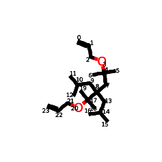 C=CCOC(C)(C)CC(CC(C)C)(CC(C)C)C(C)(C)OCC=C